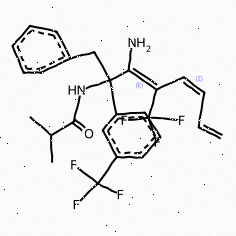 C=C/C=C\C(=C(/N)C(Cc1ccccc1)(NC(=O)C(C)C)c1cccc(C(F)(F)F)c1)C(F)(F)F